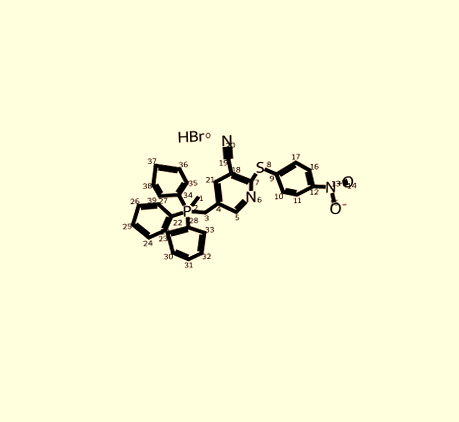 Br.CP(Cc1cnc(Sc2ccc([N+](=O)[O-])cc2)c(C#N)c1)(c1ccccc1)(c1ccccc1)c1ccccc1